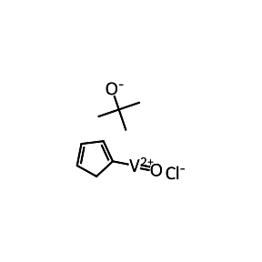 CC(C)(C)[O-].[Cl-].[O]=[V+2][C]1=CC=CC1